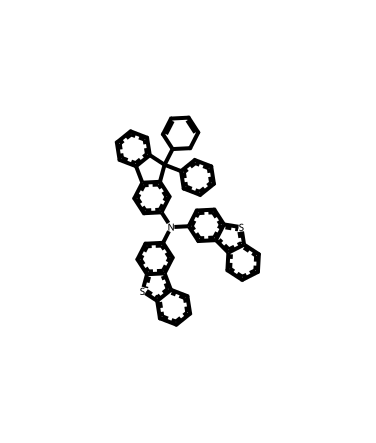 C1=CCC(C2(c3ccccc3)c3ccccc3-c3ccc(N(c4ccc5sc6ccccc6c5c4)c4ccc5sc6ccccc6c5c4)cc32)C=C1